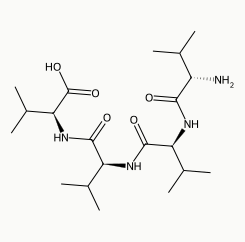 CC(C)[C@H](N)C(=O)N[C@H](C(=O)N[C@H](C(=O)N[C@H](C(=O)O)C(C)C)C(C)C)C(C)C